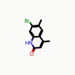 Cc1cc2c(C)cc(=O)[nH]c2cc1Br